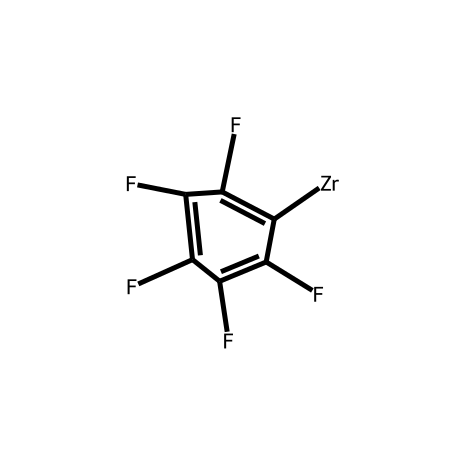 Fc1c(F)c(F)[c]([Zr])c(F)c1F